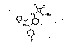 CC(NC(c1ccc(F)cc1)c1cccc(Nc2c(OC(C)(C)C)c(=O)c2=O)c1)c1cccs1